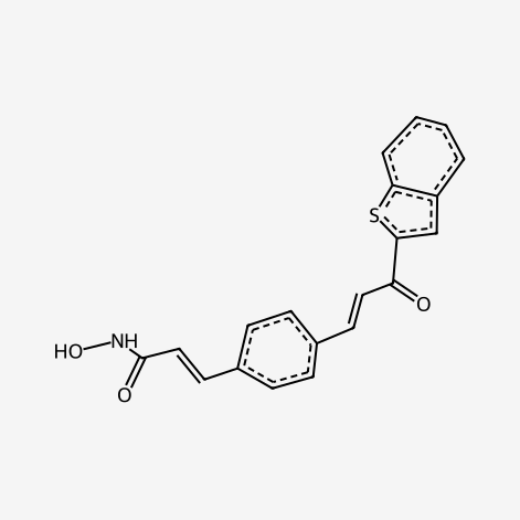 O=C(C=Cc1ccc(C=CC(=O)c2cc3ccccc3s2)cc1)NO